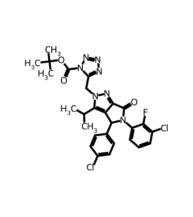 CC(C)c1c2c(nn1Cc1nnnn1C(=O)OC(C)(C)C)C(=O)N(c1cccc(Cl)c1F)C2c1ccc(Cl)cc1